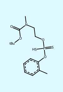 Cc1ccccc1OP(=S)(S)OCCN(C)C(=O)OC(C)(C)C